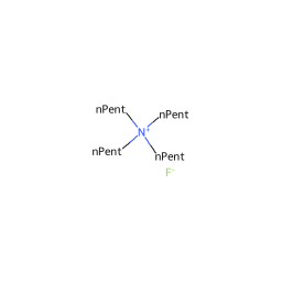 CCCCC[N+](CCCCC)(CCCCC)CCCCC.[F-]